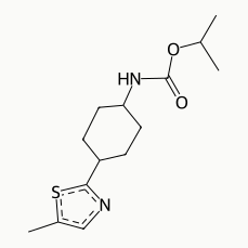 Cc1cnc(C2CCC(NC(=O)OC(C)C)CC2)s1